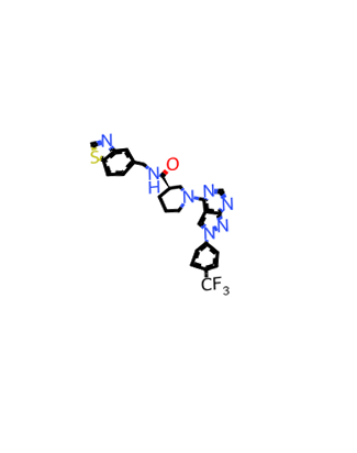 O=C(NCc1ccc2scnc2c1)[C@@H]1CCCN(c2ncnc3nn(-c4ccc(C(F)(F)F)cc4)cc23)C1